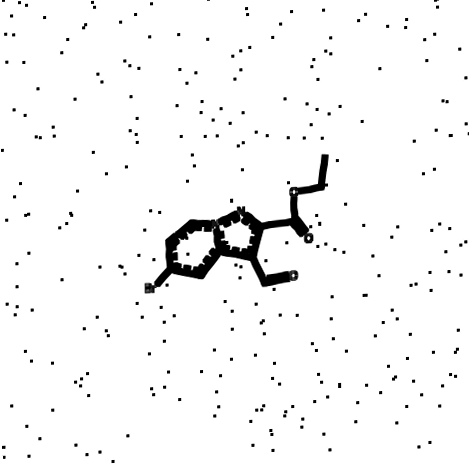 CCOC(=O)c1nn2ccc(Br)cc2c1C=O